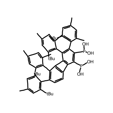 Cc1cc(C)c(-c2ccc3c(c2-c2c(C)cc(C)cc2C(C)(C)C)-c2c(-c4c(C)cc(C)cc4C(C)(C)C)c(-c4c(C)cc(C)cc4C(C)(C)C)c(P(O)O)c(P(O)O)c2-3)c(C(C)(C)C)c1